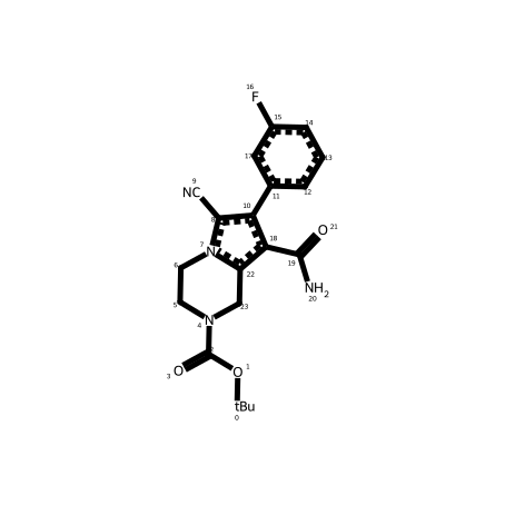 CC(C)(C)OC(=O)N1CCn2c(C#N)c(-c3cccc(F)c3)c(C(N)=O)c2C1